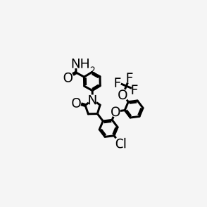 NC(=O)c1cccc(N2CC(c3ccc(Cl)cc3Oc3ccccc3OC(F)(F)F)CC2=O)c1